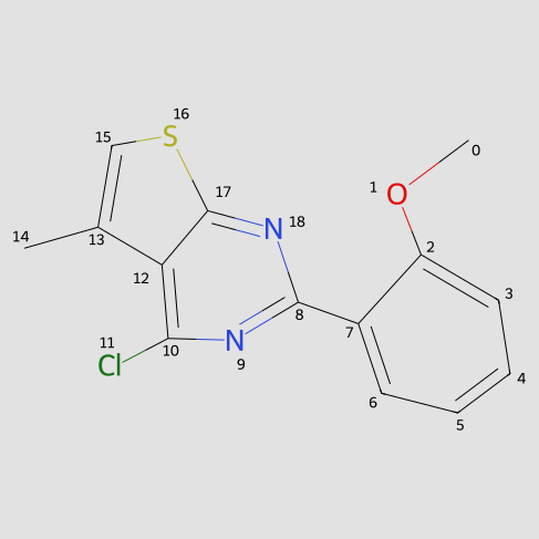 COc1ccccc1-c1nc(Cl)c2c(C)csc2n1